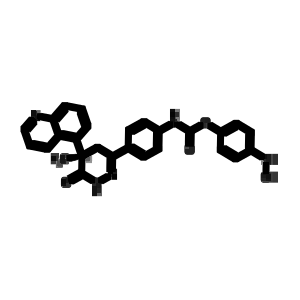 O=C(Nc1ccc(C2=NNC(=O)[C@@](c3cccc4ncccc34)(C(F)(F)F)C2)cc1)Oc1ccc(NO)cc1